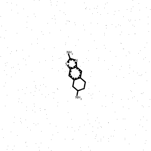 Nc1nc2cc3c(cc2s1)CC(N)CC3